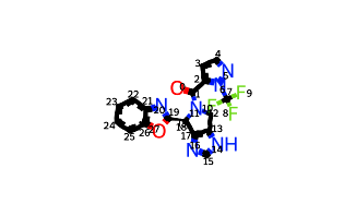 O=C(c1ccnn1C(F)(F)F)N1Cc2[nH]cnc2[C@H]1c1nc2ccccc2o1